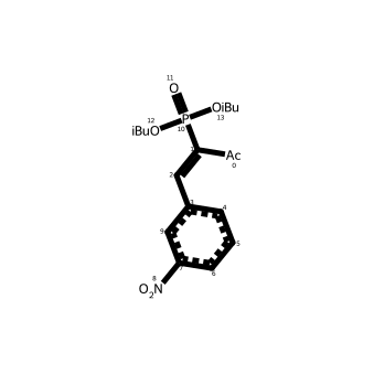 CC(=O)/C(=C\c1cccc([N+](=O)[O-])c1)P(=O)(OCC(C)C)OCC(C)C